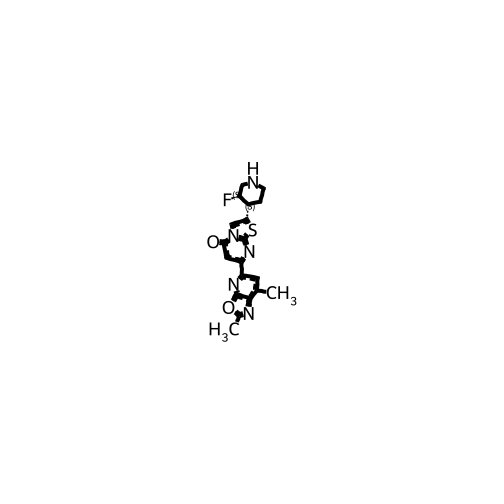 Cc1nc2c(C)cc(-c3cc(=O)n4cc([C@H]5CCNC[C@H]5F)sc4n3)nc2o1